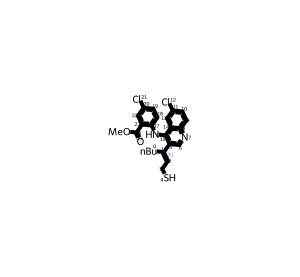 CCCC/C(=C\CS)c1cnc2ccc(Cl)cc2c1Nc1ccc(Cl)cc1C(=O)OC